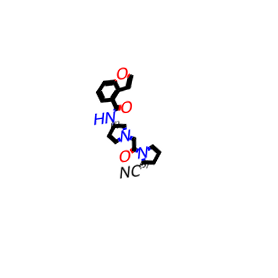 N#C[C@@H]1CCCN1C(=O)CN1CC[C@H](NC(=O)c2cccc3occc23)C1